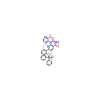 Cc1ccnc(C(C)C)c1-n1c(=O)[nH]c(=O)c2cc(F)c(-c3c(F)cccc3O[Si](c3ccccc3)(c3ccccc3)C(C)(C)C)nc21